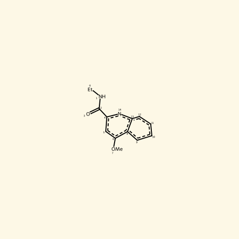 CCNC(=O)c1cc(OC)c2ccccc2n1